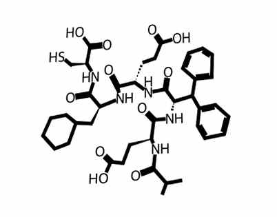 CC(C)C(=O)N[C@@H](CCC(=O)O)C(=O)N[C@H](C(=O)N[C@@H](CCC(=O)O)C(=O)N[C@@H](CC1CCCCC1)C(=O)N[C@@H](CS)C(=O)O)C(c1ccccc1)c1ccccc1